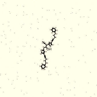 N#CC(c1cc(C#CCCCc2ccccc2)cs1)C(O)Cc1cc(C#CCCCc2ccccc2)cs1